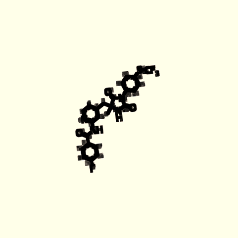 CC1(Cc2ccnc(NC(=O)c3ccc(F)cc3)c2)NC(=O)N(c2ccc(SC(F)(F)F)cc2)C1=O